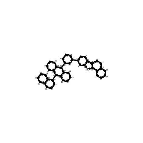 c1cc(-c2ccc3c(c2)sc2c4ccccc4ccc32)cc(-c2c3ccccc3c(-c3cccc4ccccc34)c3ccccc23)c1